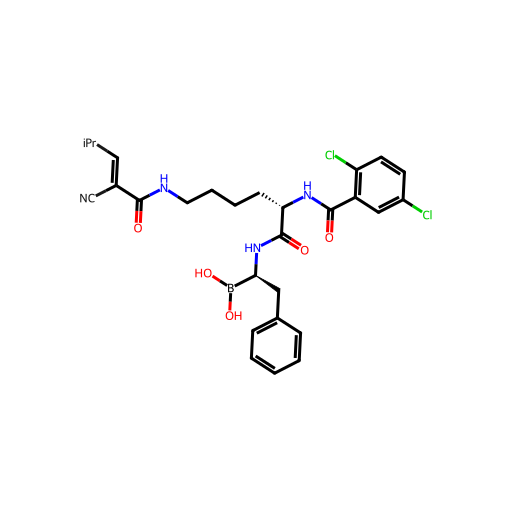 CC(C)C=C(C#N)C(=O)NCCCC[C@H](NC(=O)c1cc(Cl)ccc1Cl)C(=O)N[C@@H](Cc1ccccc1)B(O)O